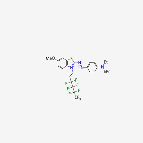 CCCN(CC)c1ccc(/N=N/c2sc3cc(OC)ccc3[n+]2CCC(F)(F)C(F)(F)C(F)(F)C(F)(F)F)cc1